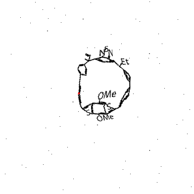 C=CC1(C)c2ccc(cc2)-c2ccc(cc2)-c2cc3c(OC)c4sc(cc4c(OC)c3s2)-c2ccc(cc2)-c2ccc(cc2)C(CC)c2ccc1c1nsnc21